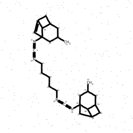 CC1CC2CC3=CC(N=C=NCCCCCN=C=NC45CC(C)CC6CC(C4)C65)(C1)C32